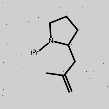 C=C(C)CC1CCCN1C(C)C